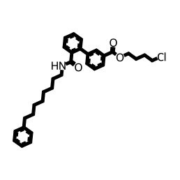 O=C(OCCCCCl)c1cccc(-c2ccccc2C(=O)NCCCCCCCCc2ccccc2)c1